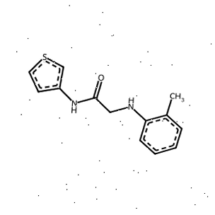 Cc1ccccc1NCC(=O)Nc1ccsc1